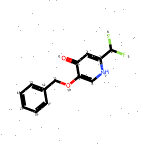 O=c1cc(C(F)F)[nH]cc1OCc1ccccc1